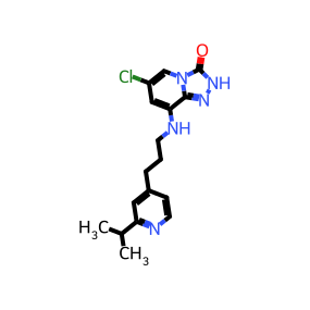 CC(C)c1cc(CCCNc2cc(Cl)cn3c(=O)[nH]nc23)ccn1